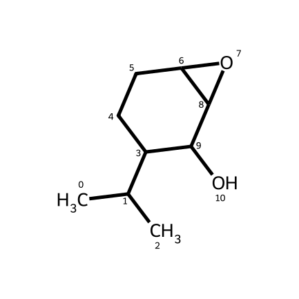 CC(C)C1CCC2OC2C1O